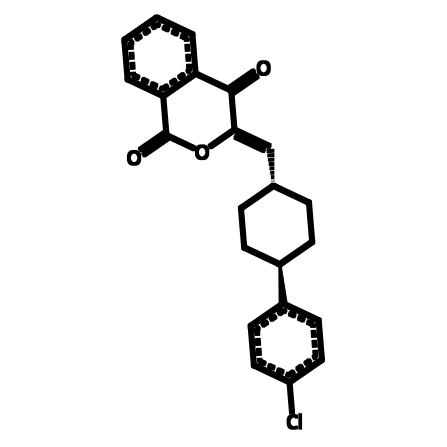 O=C1O/C(=C\[C@H]2CC[C@H](c3ccc(Cl)cc3)CC2)C(=O)c2ccccc21